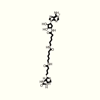 Nc1ncnc2c1ncn2[C@@H]1C[C@H](NC(=O)CCCCCNC(=O)CCCCCNC(=O)CCCC[C@@H]2SC[C@@H]3NC(=O)N[C@@H]32)[C@@H](O)[C@H]1O